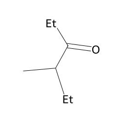 [CH2]CC(=O)C(C)CC